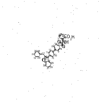 CC(C)C[C@H](NS(=O)(=O)c1ccc(-c2ccc(-c3c(Cc4ccccc4)oc4ccccc34)cc2)cc1)C(=O)O